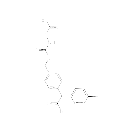 CCC(=O)ONC(=O)OCc1ccc(C(C(N)=O)c2ccc(F)cc2)cc1